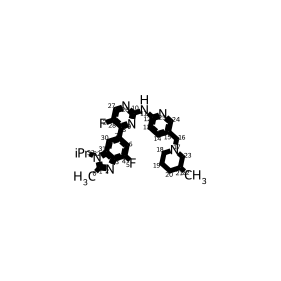 Cc1nc2c(F)cc(-c3nc(Nc4ccc(CN5CCCC(C)C5)cn4)ncc3F)cc2n1C(C)C